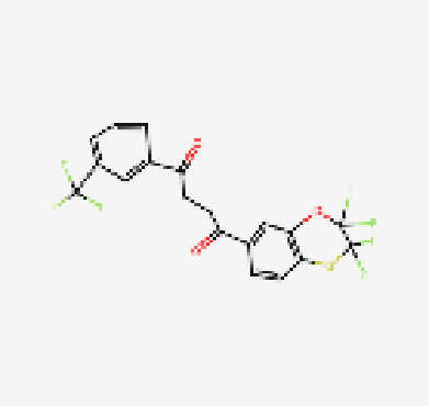 O=C(CCC(=O)c1ccc2c(c1)OC(F)(F)C(F)(F)S2)c1cccc(C(F)(F)F)c1